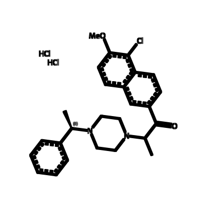 COc1ccc2cc(C(=O)C(C)N3CCN([C@H](C)c4ccccc4)CC3)ccc2c1Cl.Cl.Cl